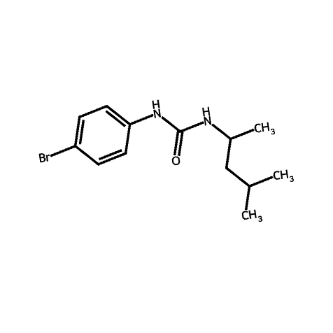 CC(C)CC(C)NC(=O)Nc1ccc(Br)cc1